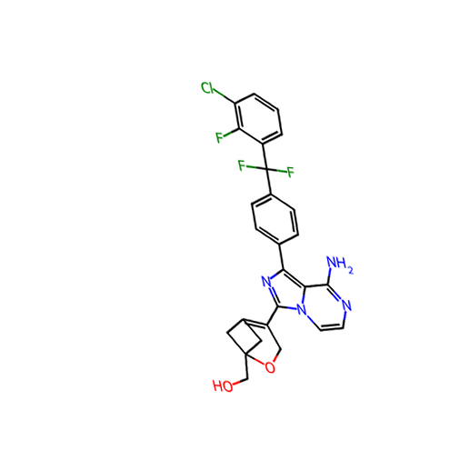 Nc1nccn2c(C3=C4CC(CO)(C4)OC3)nc(-c3ccc(C(F)(F)c4cccc(Cl)c4F)cc3)c12